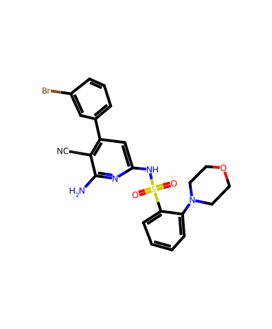 N#Cc1c(-c2cccc(Br)c2)cc(NS(=O)(=O)c2ccccc2N2CCOCC2)nc1N